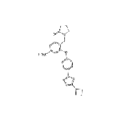 O=C(O)c1ccc(CN2CCCC2=O)c(Oc2ccc(-c3nc(C4CCC4)no3)cc2)c1